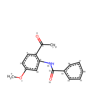 COc1ccc(C(C)=O)c(NC(=O)c2ccccc2)c1